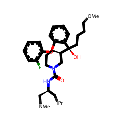 CNC[C@H](CC(C)C)NC(=O)N1CCC[C@@H]([C@@](O)(CCCCOC)c2ccccc2Oc2ccccc2F)C1